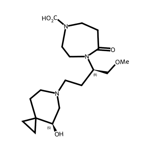 COC[C@@H](CCN1CCC2(CC2)[C@H](O)C1)N1CCN(C(=O)O)CCC1=O